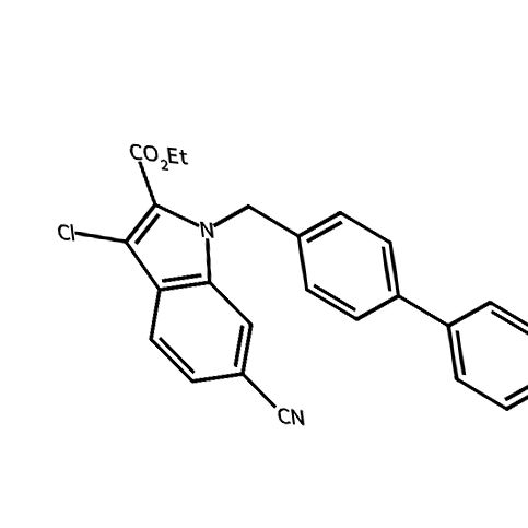 CCOC(=O)c1c(Cl)c2ccc(C#N)cc2n1Cc1ccc(-c2ccccc2)cc1